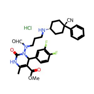 COC(=O)C1=C(C)NC(=O)N(N(C=O)CCCN[C@H]2CC[C@@](C#N)(c3ccccc3)CC2)C1c1ccc(F)c(F)c1.Cl